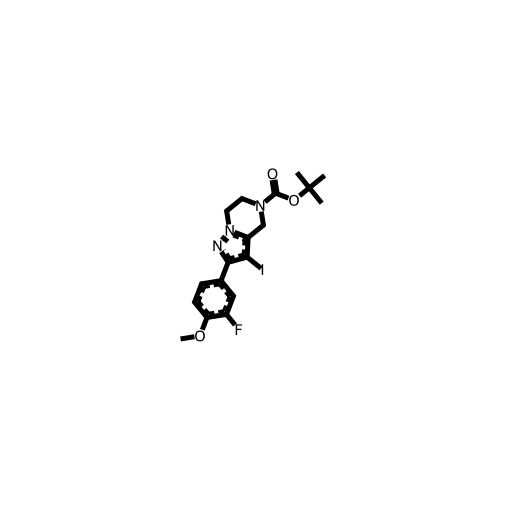 COc1ccc(-c2nn3c(c2I)CN(C(=O)OC(C)(C)C)CC3)cc1F